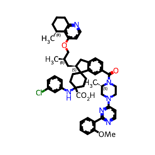 COc1ccccc1-c1nccc(N2CCN(C(=O)c3ccc4c(c3)C3(CCC(Nc5cccc(Cl)c5)(C(=O)O)CC3)[C@@H](C[C@@H](C)COc3ccnc5c3[C@H](C)CCC5)C4)[C@@H](C)C2)n1